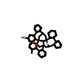 Cc1ccccc1-c1ccccc1C12CCC34CC(CC5(CC(C1)c1ccccc1-c1ccccc15)C23)c1ccccc1-c1cc(O)ccc14